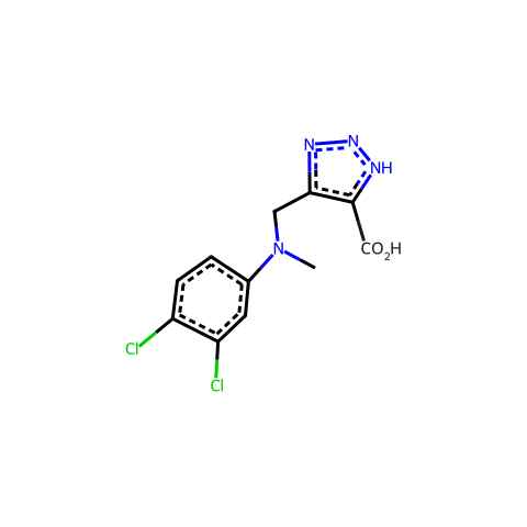 CN(Cc1nn[nH]c1C(=O)O)c1ccc(Cl)c(Cl)c1